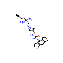 C#CCCC(N)(N)CCN1CC(SNC(=O)Nc2c3c(cc4c2CCC4)CCC3)C1